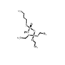 CCO[Si](OCC)(OCC)OP(=O)(O)OCCCN